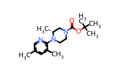 Cc1cnc(N2CCN(C(=O)OC(C)(C)C)C[C@H]2C)c(C)c1